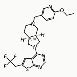 CCOc1ccc(CN2CC[C@@H]3CN(c4ncnc5sc(CC(F)(F)F)cc45)C[C@@H]3C2)cn1